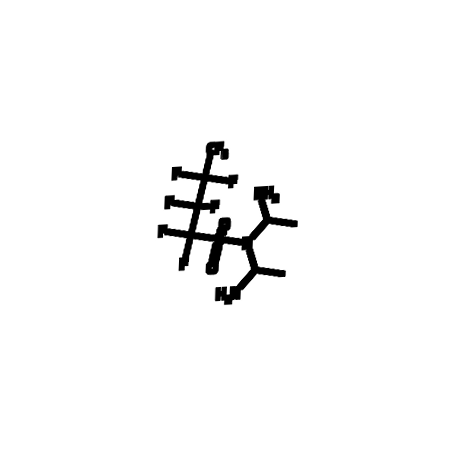 CC(N)N(C(C)N)S(=O)(=O)C(F)(F)C(F)(F)C(F)(F)C(F)(F)F